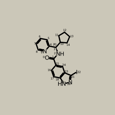 O=C(N[C@@H](c1ccccn1)C1CCCC1)c1ccc2[nH]nc(I)c2c1